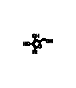 CC[C@@H]1O[C@H](CO)[C@H](O)[C@H]1O